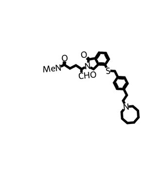 CNC(=O)CCC(C=O)N1Cc2c(SCc3ccc(CCN4CCCCCCC4)cc3)cccc2C1=O